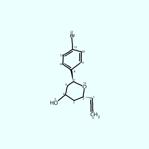 C=C[C@@H]1CC(O)C[C@@H](c2ccc(Br)cc2)O1